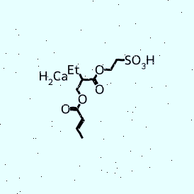 CC=CC(=O)OCC(CC)C(=O)OCCS(=O)(=O)O.[CaH2]